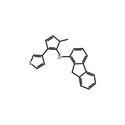 CC1C=CC(c2ccsc2)=[C]1[Zr][c]1cccc2c1Cc1ccccc1-2